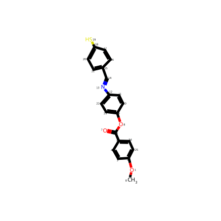 COc1ccc(C(=O)Oc2ccc(/N=C/c3ccc(S)cc3)cc2)cc1